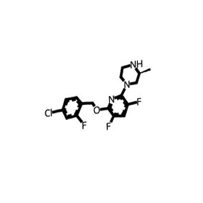 C[C@H]1CN(c2nc(OCc3ccc(Cl)cc3F)c(F)cc2F)CCN1